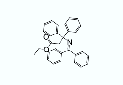 CCOC(=O)CC(N=C(c1ccccc1)c1ccccc1)(c1ccccc1)c1ccccc1